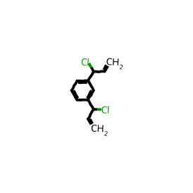 C=CC(Cl)c1cccc(C(Cl)C=C)c1